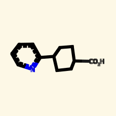 O=C(O)C1CCC(c2ccccn2)CC1